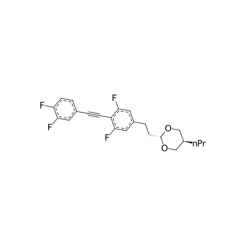 CCC[C@H]1CO[C@H](CCc2cc(F)c(C#Cc3ccc(F)c(F)c3)c(F)c2)OC1